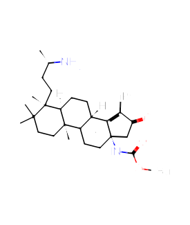 CC(C)C1=C2[C@H]3CC[C@@H]4[C@@](C)(CC[C@@H](C)N)C(C)(C)CC[C@@]4(C)[C@]3(C)CC[C@@]2(NC(=O)OC(C)(C)C)CC1=O